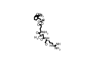 CN(CC(=O)N[C@H](C=O)CCCNC(=N)N)C(=O)[C@@H](N)CCC(=O)OS(=O)(=O)CC12CCC(CC1=O)C2(C)C